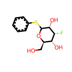 OC[C@H]1OC(Sc2ccccc2)[C@H](O)[C@H](F)[C@@H]1O